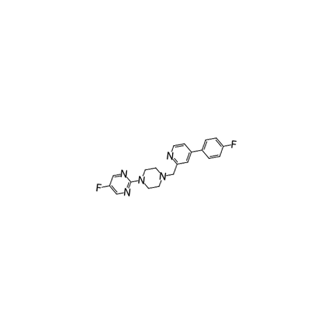 Fc1ccc(-c2ccnc(CN3CCN(c4ncc(F)cn4)CC3)c2)cc1